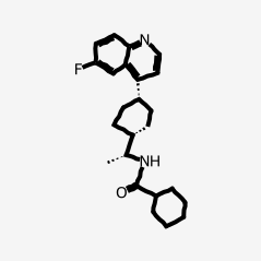 C[C@@H](NC(=O)C1CCCCC1)[C@H]1CC[C@@H](c2ccnc3ccc(F)cc32)CC1